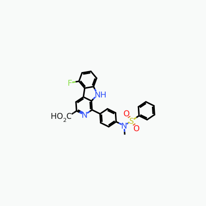 CN(c1ccc(-c2nc(C(=O)O)cc3c2[nH]c2cccc(F)c23)cc1)S(=O)(=O)c1ccccc1